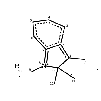 CC1=c2ccccc2=[N+](C)C1(C)C.I